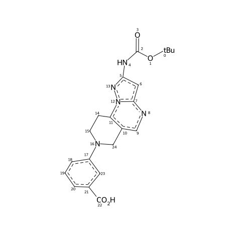 CC(C)(C)OC(=O)Nc1cc2ncc3c(n2n1)CCN(c1cccc(C(=O)O)c1)C3